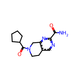 NC(=O)c1n[c]c2c(n1)CN(C(=O)C1CCCC1)CC2